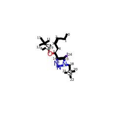 CC/C=C\C[C@H](O[Si](C)(C)C(C)(C)C)c1nnn(C[Si](C)(C)C)c1I